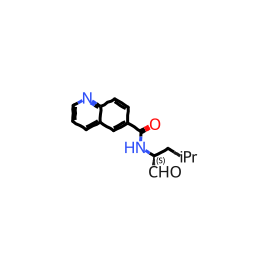 CC(C)C[C@@H](C=O)NC(=O)c1ccc2ncccc2c1